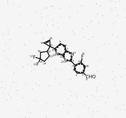 O=Cc1ccc(-c2nc3ccc(C4(C5CCC(F)(F)C5)C=C4)nc3s2)c(F)c1